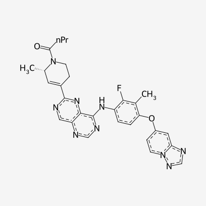 CCCC(=O)N1CCC(c2ncc3ncnc(Nc4ccc(Oc5ccn6ncnc6c5)c(C)c4F)c3n2)=C[C@@H]1C